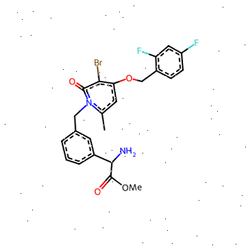 COC(=O)C(N)c1cccc(Cn2c(C)cc(OCc3ccc(F)cc3F)c(Br)c2=O)c1